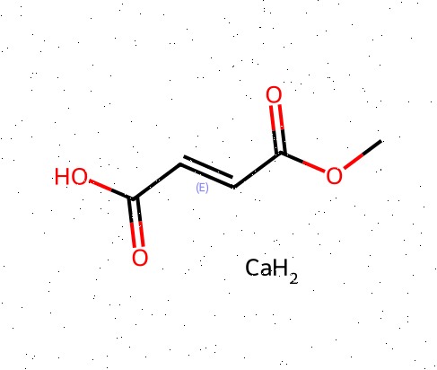 COC(=O)/C=C/C(=O)O.[CaH2]